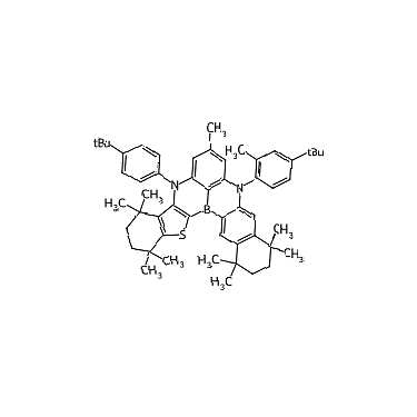 Cc1cc2c3c(c1)N(c1ccc(C(C)(C)C)cc1)c1c(sc4c1C(C)(C)CCC4(C)C)B3c1cc3c(cc1N2c1ccc(C(C)(C)C)cc1C)C(C)(C)CCC3(C)C